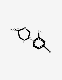 Cc1cc(Br)ccc1[C@H]1CO[C@H](C)CN1